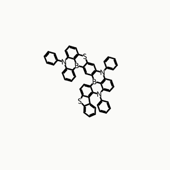 c1ccc(N2c3ccccc3B3c4cc5c(cc4Sc4cccc2c43)N(c2ccccc2)c2cccc3c2B5c2ccc4sc5ccccc5c4c2N3c2ccccc2)cc1